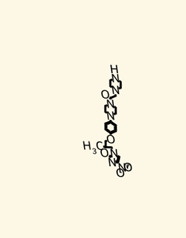 CC1(COc2ccc(N3CCN(C(=O)CN4CCNCC4)CC3)cc2)Cn2cc([N+](=O)[O-])nc2O1